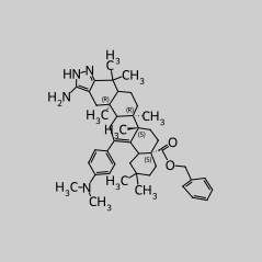 CN(C)c1ccc(C2=C3C4CC(C)(C)CC[C@]4(C(=O)OCc4ccccc4)CC[C@@]3(C)[C@]3(C)CCC4C(C)(C)c5n[nH]c(N)c5C[C@]4(C)C3C2)cc1